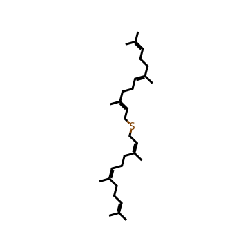 CC(C)=CCCC(C)=CCCC(C)=CCSCC=C(C)CCC=C(C)CCC=C(C)C